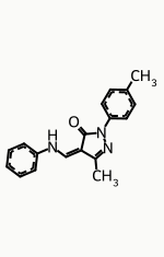 CC1=NN(c2ccc(C)cc2)C(=O)/C1=C\Nc1ccccc1